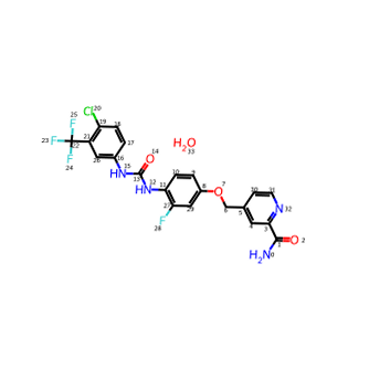 NC(=O)c1cc(COc2ccc(NC(=O)Nc3ccc(Cl)c(C(F)(F)F)c3)c(F)c2)ccn1.O